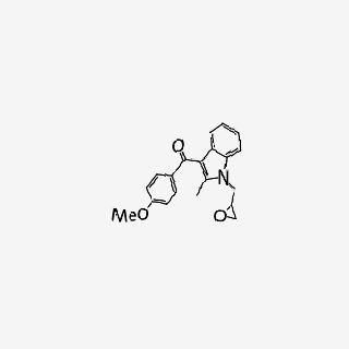 COc1ccc(C(=O)c2c(C)n(CC3CO3)c3ccccc23)cc1